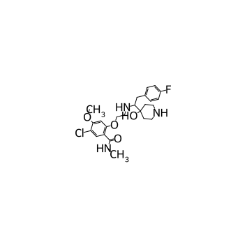 CNC(=O)c1cc(Cl)c(OC)cc1OCCNC(Cc1ccc(F)cc1)C1(O)CCNCC1